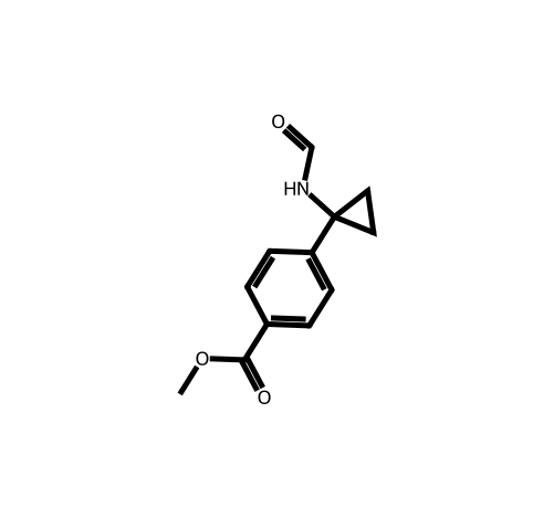 COC(=O)c1ccc(C2(NC=O)CC2)cc1